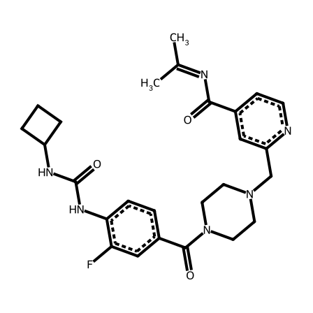 CC(C)=NC(=O)c1ccnc(CN2CCN(C(=O)c3ccc(NC(=O)NC4CCC4)c(F)c3)CC2)c1